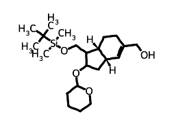 CC(C)(C)[Si](C)(C)OCC1C(OC2CCCCO2)C[C@H]2C=C(CO)CC[C@@H]12